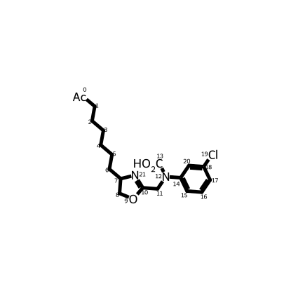 CC(=O)CCCCCCC1COC(CN(C(=O)O)c2cccc(Cl)c2)=N1